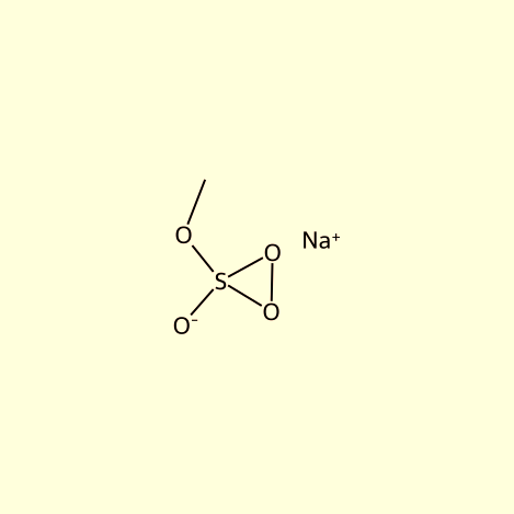 COS1([O-])OO1.[Na+]